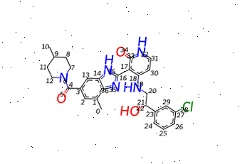 Cc1cc(C(=O)N2CCC(C)CC2)cc2[nH]c(-c3c(NCC(O)c4cccc(Cl)c4)cc[nH]c3=O)nc12